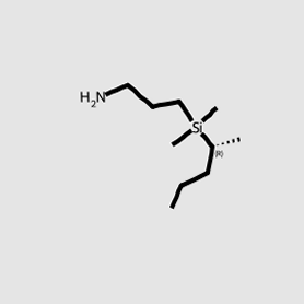 CCC[C@@H](C)[Si](C)(C)CCCN